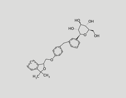 CC1(C)OC(COc2ccc(Cc3cccc([C@@H]4O[C@H](CO)[C@@H](O)[C@H](O)[C@H]4O)c3)cc2)c2ccccc21